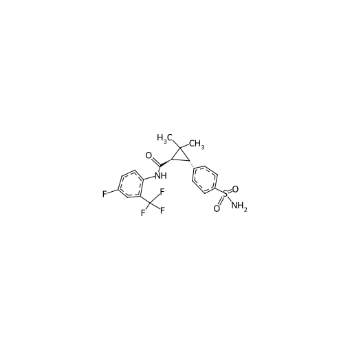 CC1(C)[C@H](C(=O)Nc2ccc(F)cc2C(F)(F)F)[C@H]1c1ccc(S(N)(=O)=O)cc1